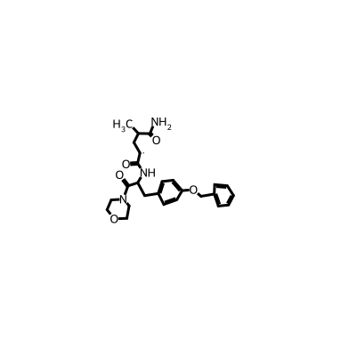 CC(C[CH]C(=O)NC(Cc1ccc(OCc2ccccc2)cc1)C(=O)N1CCOCC1)C(N)=O